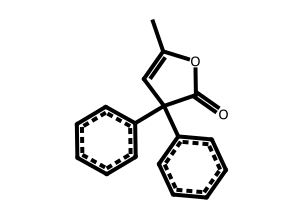 CC1=CC(c2ccccc2)(c2ccccc2)C(=O)O1